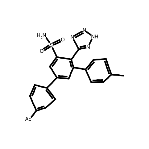 CC(=O)c1ccc(-c2cc(-c3ccc(C)cc3)c(-c3nn[nH]n3)c(S(N)(=O)=O)c2)cc1